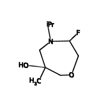 CC(C)N1CC(C)(O)COCC1F